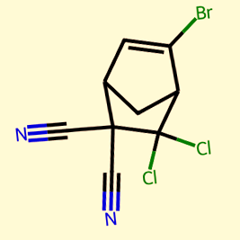 N#CC1(C#N)C2C=C(Br)C(C2)C1(Cl)Cl